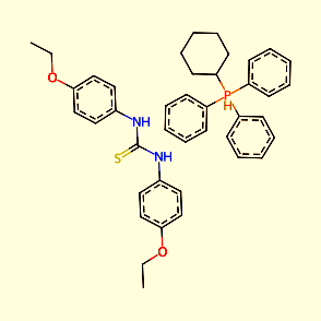 CCOc1ccc(NC(=S)Nc2ccc(OCC)cc2)cc1.c1ccc([PH](c2ccccc2)(c2ccccc2)C2CCCCC2)cc1